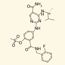 CC(C)[C@@H](C)Nc1nc(Nc2ccc(OS(C)(=O)=O)c(C(=O)NCc3ccccc3F)c2)ncc1C(N)=O